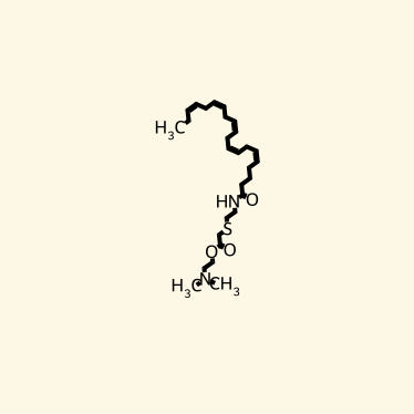 CC/C=C\C/C=C\C/C=C\C/C=C\C/C=C\CCCC(=O)NCCSCC(=O)OCCN(C)C